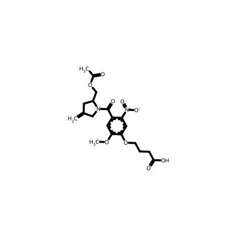 C=C1CC(COC(C)=O)N(C(=O)c2cc(OC)c(OCCCC(=O)O)cc2[N+](=O)[O-])C1